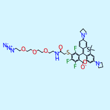 C[Si]1(C)C2=CC(=[N+]3CCC3)C=CC2=C(c2c(F)c(SCC(=O)NCCOCCOCCOCCN=[N+]=[N-])c(F)c(F)c2C(=O)[O-])c2ccc(N3CCC3)cc21